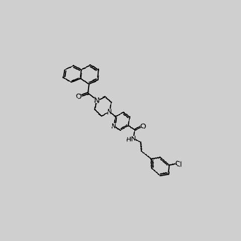 O=C(NCCc1cccc(Cl)c1)c1ccc(N2CCN(C(=O)c3cccc4ccccc34)CC2)nc1